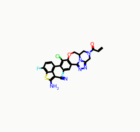 C=CC(=O)N1Cc2nnc3n2C(COc2c-3cc(F)c(-c3ccc(F)c4sc(N)c(C#N)c34)c2Cl)C1